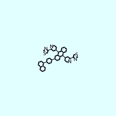 c1ccc2c(-c3ccc(-c4ccc5c(-c6ccnc(-c7cscn7)c6)c6ccccc6c(-c6ccnc(-c7cscn7)c6)c5c4)cc3)cccc2c1